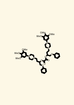 COc1cc(N2CCN(CCC(COc3ccccc3)OC(=O)C(=O)OC(CCN3CCN(c4cc(OC)c(OC)c(OC)c4)CC3)COc3ccccc3)CC2)cc(OC)c1OC